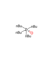 CCC[CH2][Zr](=[O])([CH2]CCC)([CH2]CCC)[CH2]CCC